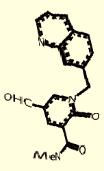 CNC(=O)c1cc(C=O)cn(Cc2ccc3cccnc3c2)c1=O